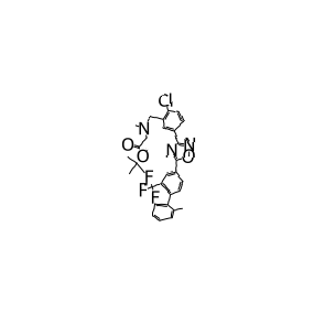 Cc1ccccc1-c1ccc(-c2nc(-c3ccc(Cl)c(CN(C)CC(=O)OC(C)(C)C)c3)no2)cc1C(F)(F)F